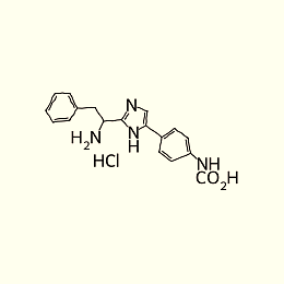 Cl.NC(Cc1ccccc1)c1ncc(-c2ccc(NC(=O)O)cc2)[nH]1